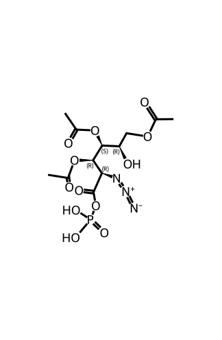 CC(=O)OC[C@@H](O)[C@H](OC(C)=O)[C@H](OC(C)=O)[C@@H](N=[N+]=[N-])C(=O)OP(=O)(O)O